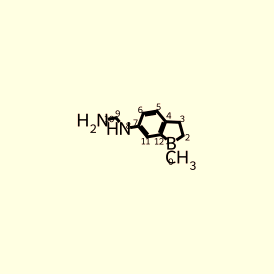 CB1CCc2ccc(NCN)cc21